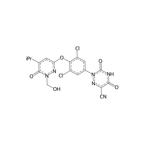 CC(C)c1cc(Oc2c(Cl)cc(-n3nc(C#N)c(=O)[nH]c3=O)cc2Cl)nn(CO)c1=O